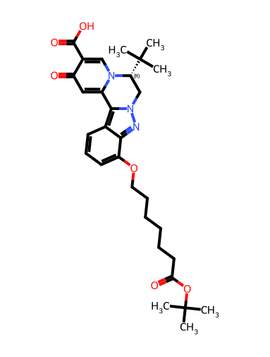 CC(C)(C)OC(=O)CCCCCCOc1cccc2c3n(nc12)C[C@@H](C(C)(C)C)n1cc(C(=O)O)c(=O)cc1-3